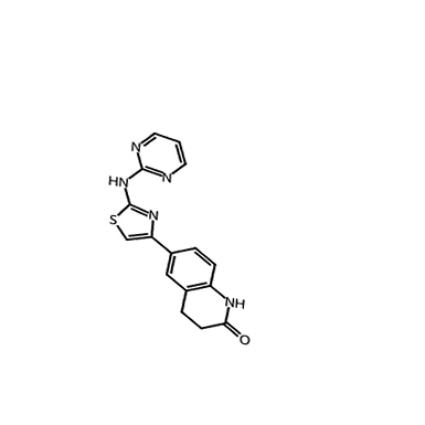 O=C1CCc2cc(-c3csc(Nc4ncccn4)n3)ccc2N1